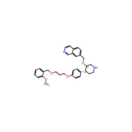 COc1ccccc1COCCCOc1ccc([C@H]2CCNC[C@@H]2OCc2ccc3ccncc3c2)cc1